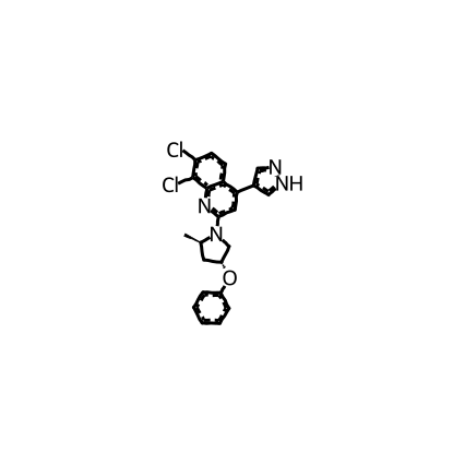 C[C@@H]1C[C@@H](Oc2ccccc2)CN1c1cc(-c2cn[nH]c2)c2ccc(Cl)c(Cl)c2n1